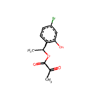 CC(=O)C(=O)OC(C)c1ccc(Br)cc1O